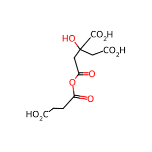 O=C(O)CCC(=O)OC(=O)CC(O)(CC(=O)O)C(=O)O